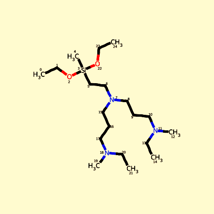 CCO[Si](C)(CCN(CCCN(C)CC)CCCN(C)CC)OCC